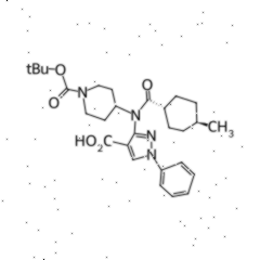 CC(C)(C)OC(=O)N1CCC(N(c2nn(-c3ccccc3)cc2C(=O)O)C(=O)[C@H]2CC[C@H](C)CC2)CC1